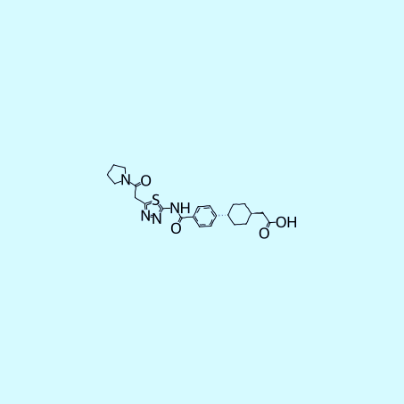 O=C(O)C[C@H]1CC[C@H](c2ccc(C(=O)Nc3nnc(CC(=O)N4CCCC4)s3)cc2)CC1